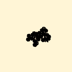 c1ccc(-c2ccccc2-c2cc(-c3ccc4oc5ccccc5c4c3)nc(-c3ccc4ccc5ccc6nn(-c7ccccc7-c7ccc(-c8cc(-c9cccc%10oc%11ccccc%11c9%10)nc(-c9ccc%10ccc%11ccc%12nn(-c%13ccccc%13)nc%12c%11c%10c9)n8)c(-c8ccccc8)c7)nc6c5c4c3)n2)cc1